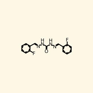 O=C(N/N=C/c1ccccc1F)N/N=C/c1ccccc1F